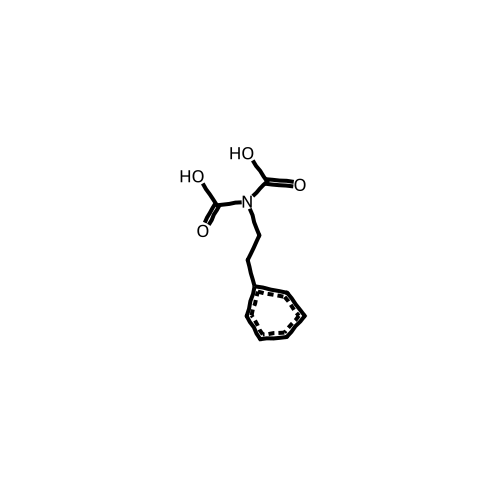 O=C(O)N(CCc1ccccc1)C(=O)O